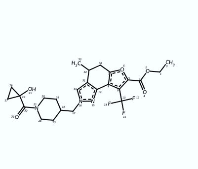 CCOC(=O)c1oc2c(c1C(F)(F)F)-c1nn(CC3CCN(C(=O)C4(O)CC4)CC3)cc1C(C)C2